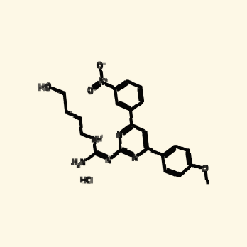 COc1ccc(-c2cc(-c3cccc([N+](=O)[O-])c3)nc(N=C(N)NCCCCO)n2)cc1.Cl